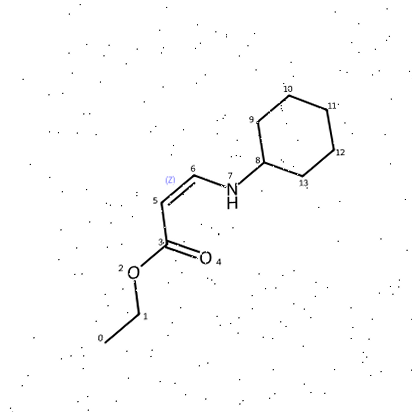 CCOC(=O)/C=C\NC1CCCCC1